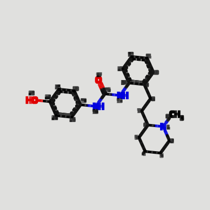 CN1CCCCC1CCc1ccccc1NC(=O)Nc1ccc(O)cc1